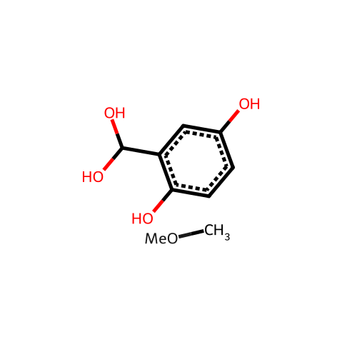 COC.Oc1ccc(O)c(C(O)O)c1